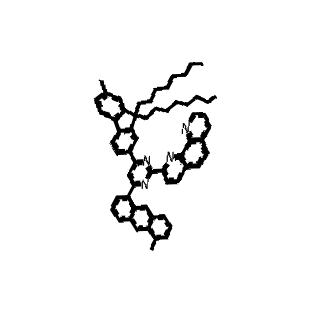 CCCCCCCCC1(CCCCCCCC)c2cc(C)ccc2-c2ccc(-c3cc(-c4cccc5cc6c(C)cccc6cc45)nc(-c4ccc5ccc6cccnc6c5n4)n3)cc21